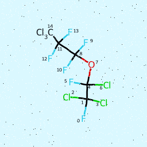 FC(Cl)(Cl)C(F)(Cl)OC(F)(F)C(F)(F)C(Cl)(Cl)Cl